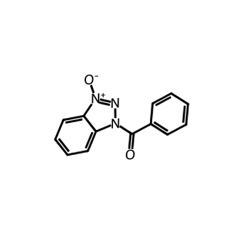 O=C(c1ccccc1)n1n[n+]([O-])c2ccccc21